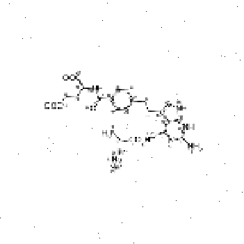 CC(C)[C@H](N)C(=O)O.Nc1nc(=O)c2c(CCc3ccc(C(=O)N[C@@H](CCC(=O)[O-])C(=O)[O-])cc3)c[nH]c2[nH]1.[Na+].[Na+]